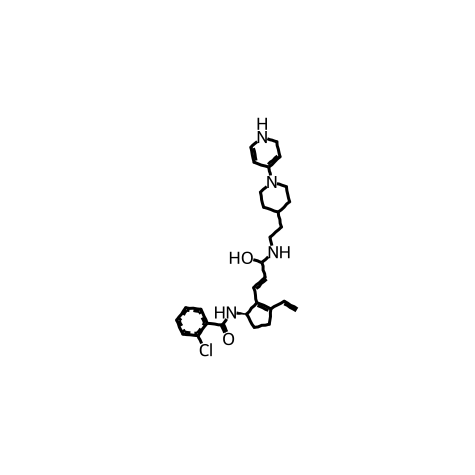 C=CC1=C(/C=C/C(O)NCCC2CCN(C3=CCNC=C3)CC2)[C@H](NC(=O)c2ccccc2Cl)CC1